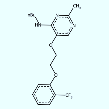 CCCCNc1nc(C)ncc1OCCOc1ccccc1C(F)(F)F